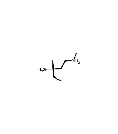 CCC(C)([SiH3])CC[SiH2]C